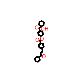 O=C(C=Cc1ccc(C(=O)Oc2ccc(C(=O)C3(O)CCCCC3)cc2)cc1)c1ccccc1